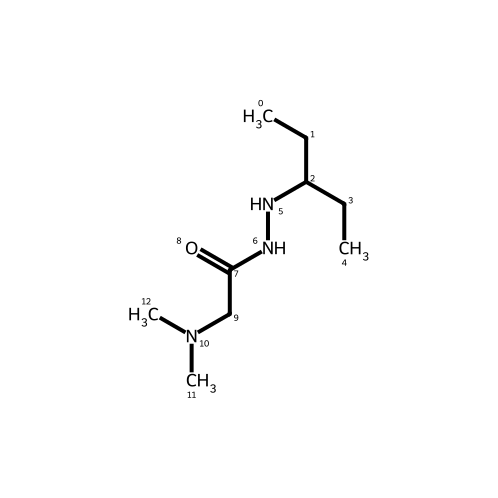 CCC(CC)NNC(=O)CN(C)C